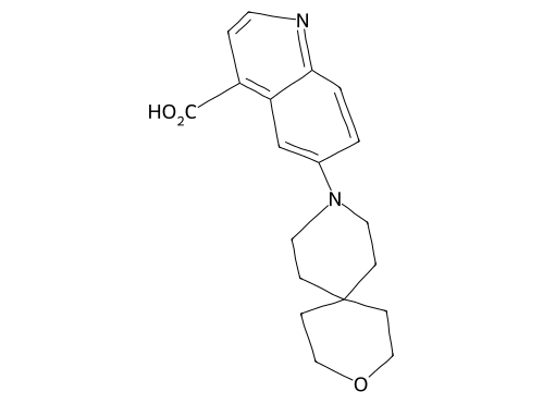 O=C(O)c1ccnc2ccc(N3CCC4(CCOCC4)CC3)cc12